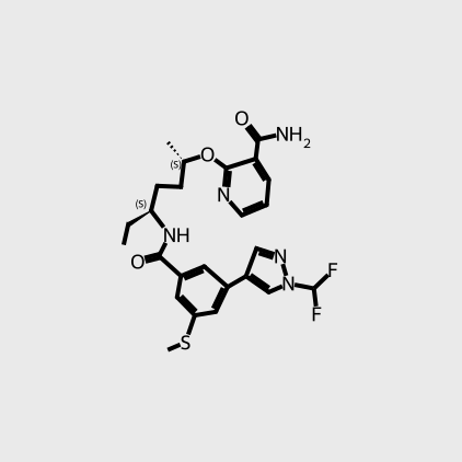 CC[C@@H](CC[C@H](C)Oc1ncccc1C(N)=O)NC(=O)c1cc(SC)cc(-c2cnn(C(F)F)c2)c1